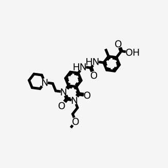 COCCn1c(=O)c2cc(NC(=O)Nc3cccc(C(=O)O)c3C)ccc2n(CCN2CCCCC2)c1=O